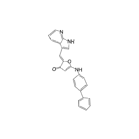 O=C1C=C(Nc2ccc(-c3ccccc3)cc2)OC1=Cc1c[nH]c2ncccc12